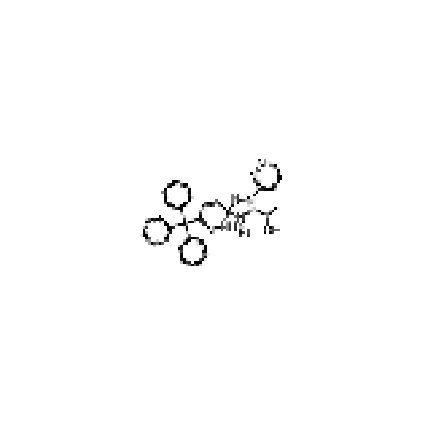 CCN(CC(C)O)C1(N=Nc2cccnn2)C=CC(C(c2ccccc2)(c2ccccc2)c2ccccc2)=NN1